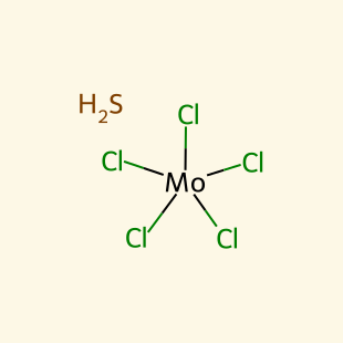 S.[Cl][Mo]([Cl])([Cl])([Cl])[Cl]